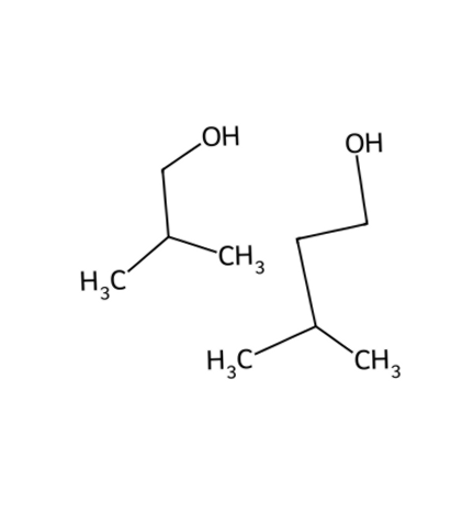 CC(C)CCO.CC(C)CO